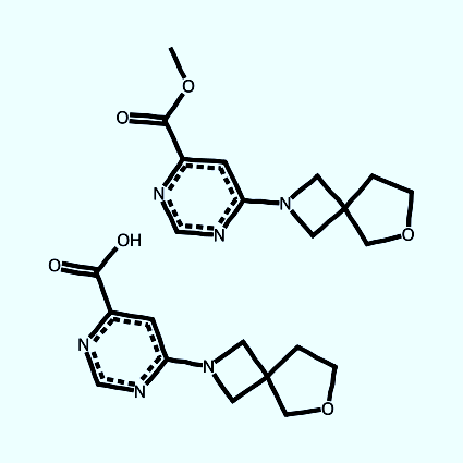 COC(=O)c1cc(N2CC3(CCOC3)C2)ncn1.O=C(O)c1cc(N2CC3(CCOC3)C2)ncn1